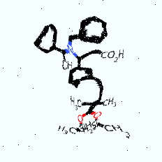 C[SiH2]OC(O[SiH2]C)C(C)(C)Cc1cccc(C(CC(=O)O)N(Cc2ccccc2)[C@@H](C)c2ccccc2)c1